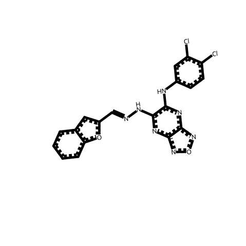 Clc1ccc(Nc2nc3nonc3nc2NN=Cc2cc3ccccc3o2)cc1Cl